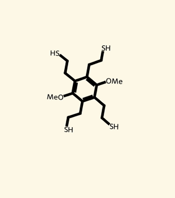 COc1c(CCS)c(CCS)c(OC)c(CCS)c1CCS